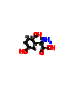 N[C@@H](C(=O)O)c1cc(O)ccc1O